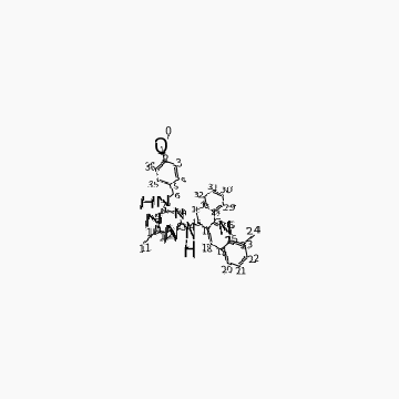 COc1ccc(CNc2nc(C)nc(NC(C)c3cc4cccc(C)c4nc3-c3ccccc3)n2)cc1